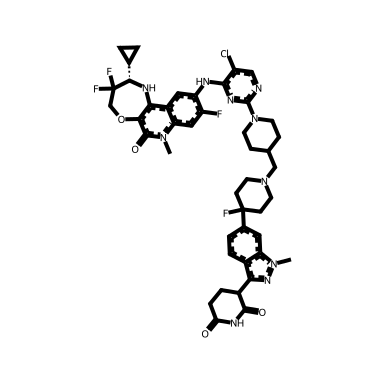 Cn1nc(C2CCC(=O)NC2=O)c2ccc(C3(F)CCN(CC4CCN(c5ncc(Cl)c(Nc6cc7c8c(c(=O)n(C)c7cc6F)OCC(F)(F)[C@H](C6CC6)N8)n5)CC4)CC3)cc21